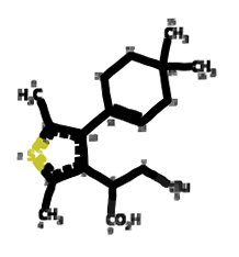 Cc1sc(C)c(C(CC(C)(C)C)C(=O)O)c1C1=CCC(C)(C)CC1